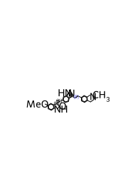 COc1ccc2c(c1)[C@]1(C[C@H]1c1ccc3c(/C=C/c4ccc5c(c4)CN(C)CC5)n[nH]c3c1)C(=O)N2